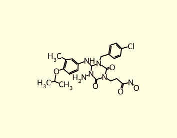 Cc1cc(NC2N(N)C(=O)N(CCC(=O)N=O)C(=O)N2Cc2ccc(Cl)cc2)ccc1OC(C)C